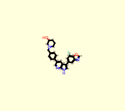 OC1CCCN(Cc2ccc(-c3cnc4[nH]cc(-c5cc(F)c6ocnc6c5)c4c3)cc2)C1